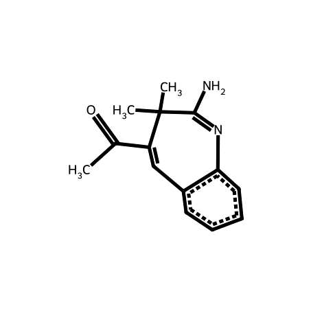 CC(=O)C1=Cc2ccccc2N=C(N)C1(C)C